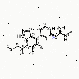 CNC(=N)/C=C1/C=C(c2c(C)c(F)c([C@@H](C)COC)c3[nH]ncc23)C=CN1